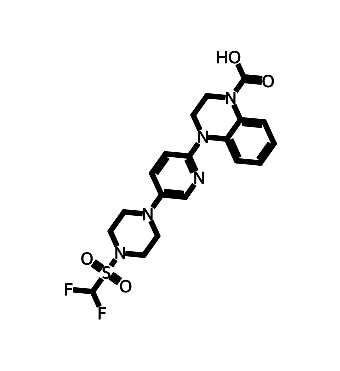 O=C(O)N1CCN(c2ccc(N3CCN(S(=O)(=O)C(F)F)CC3)cn2)c2ccccc21